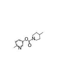 Cc1ccc(OC(=O)N2CCC(C)CC2)cn1